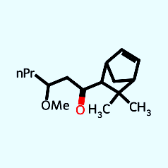 CCCC(CC(=O)C1C2C=CC(C2)C1(C)C)OC